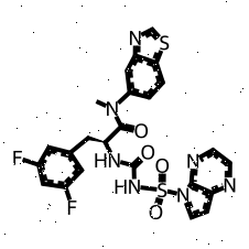 CN(C(=O)[C@H](Cc1cc(F)cc(F)c1)NC(=O)NS(=O)(=O)n1ccc2nccnc21)c1ccc2scnc2c1